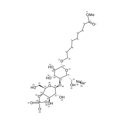 COC(=O)CCCCCCCCO[C@@H]1O[C@H](CO)[C@@H](O[C@@H]2O[C@H](CO)[C@H](OP(=O)([O-])[O-])[C@H](O)[C@H]2O)[C@H](O)[C@H]1O.[Na+].[Na+]